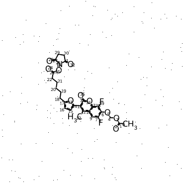 CC(=O)OCOc1c(F)cc2c(C)c(-c3ccc(CCCCCC(=O)ON4C(=O)CCC4=O)o3)c(=O)oc2c1F